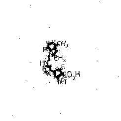 CCCc1cc(-c2cc(NCCn3c(C)cc4c(C)ccc(F)c43)ncn2)cc(F)c1C(=O)O